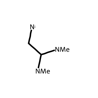 CNC(C[N])NC